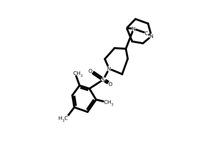 Cc1cc(C)c(S(=O)(=O)N2CCC(N3CN4CCC3CC4)CC2)c(C)c1